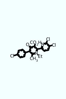 CCn1c(C)c(-c2ccc(Cl)cc2)c(=O)c(C(=O)O)c1-c1ccc(Cl)c(Cl)n1